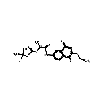 CCOc1oc(=O)c2cc(NC(=O)[C@H](C)NC(=O)OC(C)(C)C)ccc2c1Cl